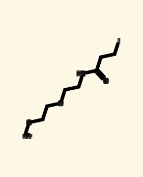 CCCOCCOCCNC(=O)CCI